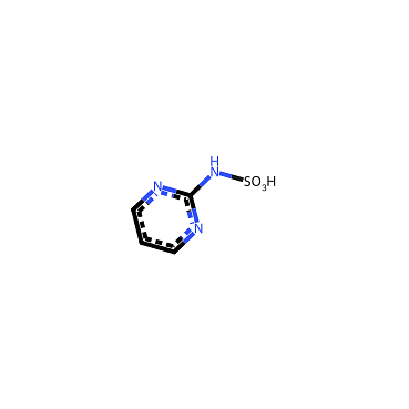 O=S(=O)(O)Nc1ncccn1